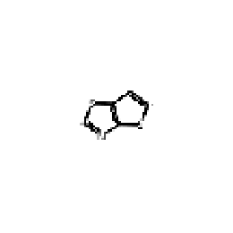 [c]1nc2s[c]cc2s1